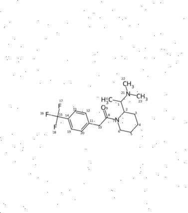 CC(C1CCCCN1C(=O)Cc1ccc(C(F)(F)F)cc1)N(C)C